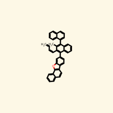 C=C/C=C\c1c(C)c(-c2cccc3ccccc23)c2ccccc2c1-c1ccc2c(c1)oc1c3ccccc3ccc21